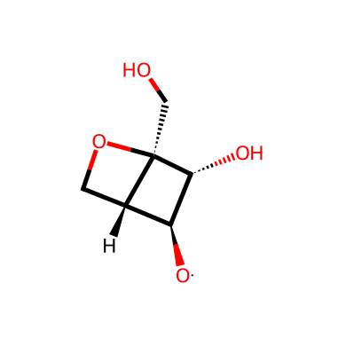 [O][C@@H]1[C@@H](O)[C@]2(CO)OC[C@@H]12